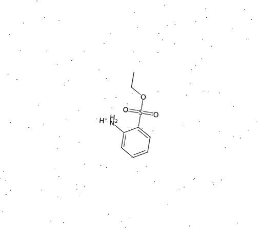 CCOS(=O)(=O)c1ccccc1N.[H+]